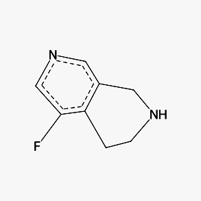 Fc1cncc2c1CCNC2